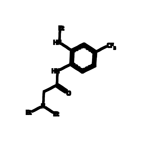 CCNc1cc(C(F)(F)F)ccc1NC(=O)CN(CC)CC